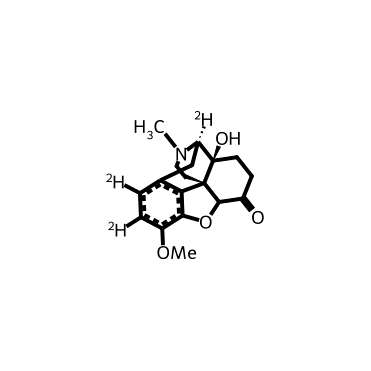 [2H]c1c([2H])c(OC)c2c3c1C[C@@]1([2H])N(C)CC[C@@]34C(O2)C(=O)CC[C@]41O